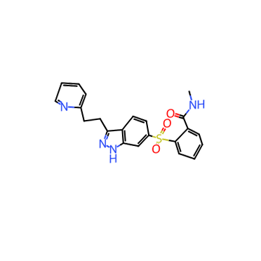 CNC(=O)c1ccccc1S(=O)(=O)c1ccc2c(CCc3ccccn3)n[nH]c2c1